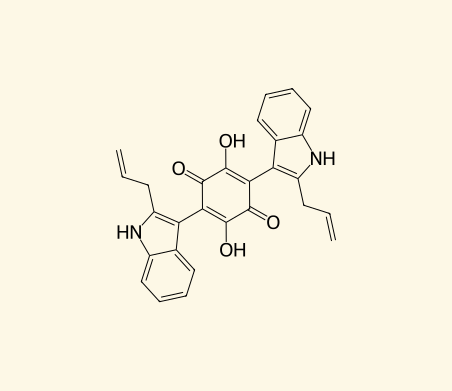 C=CCc1[nH]c2ccccc2c1C1=C(O)C(=O)C(c2c(CC=C)[nH]c3ccccc23)=C(O)C1=O